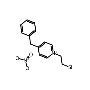 O=[N+]([O-])[O-].SCC[n+]1ccc(Cc2ccccc2)cc1